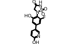 O=C1CN(c2c(O)cc(-c3ccc(O)nc3)cc2F)S(=O)(=O)N1